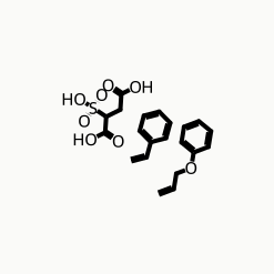 C=CCOc1ccccc1.C=Cc1ccccc1.O=C(O)CC(C(=O)O)S(=O)(=O)O